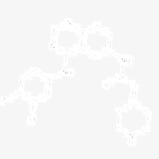 O=C(C=C1CCNCC1)Nc1ccc2ncnc(Nc3ccc(F)c(Cl)c3)c2c1